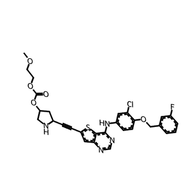 COCCOC(=O)OC1CNC(C#Cc2cc3ncnc(Nc4ccc(OCc5cccc(F)c5)c(Cl)c4)c3s2)C1